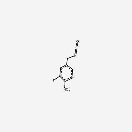 O=C=NCc1ccc([N+](=O)[O-])c(I)c1